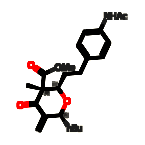 C=C1C(=O)[C@](C)(C(=O)OC)[C@@H](CCc2ccc(NC(C)=O)cc2)O[C@H]1CCCC